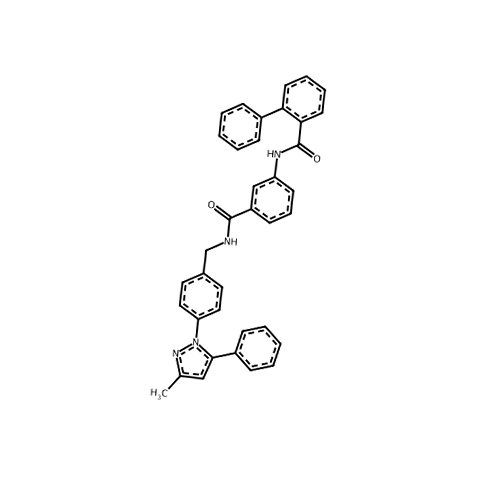 Cc1cc(-c2ccccc2)n(-c2ccc(CNC(=O)c3cccc(NC(=O)c4ccccc4-c4ccccc4)c3)cc2)n1